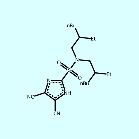 CCCCC(CC)CN(CC(CC)CCCC)S(=O)(=O)c1nc(C#N)c(C#N)[nH]1